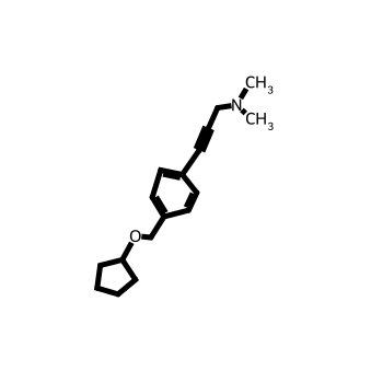 CN(C)CC#Cc1ccc(COC2CCCC2)cc1